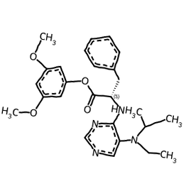 CCN(c1cncnc1N[C@@H](Cc1ccccc1)C(=O)Oc1cc(OC)cc(OC)c1)C(C)C